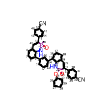 CP1(=O)Nc2c(cccc2-c2cccc(-c3cccc4c3NP(=O)(Oc3ccccc3)C(c3ccc(C#N)cc3)=C4)c2)C=C1c1ccc(C#N)cc1